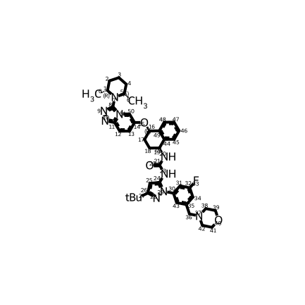 C[C@@H]1CCC[C@H](C)N1c1nnc2ccc(O[C@@H]3CC[C@H](NC(=O)Nc4cc(C(C)(C)C)nn4-c4cc(F)cc(CN5CCOCC5)c4)c4ccccc43)cn12